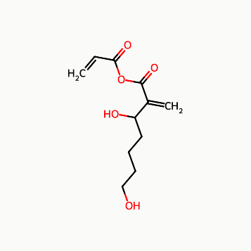 C=CC(=O)OC(=O)C(=C)C(O)CCCCO